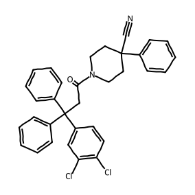 N#CC1(c2ccccc2)CCN(C(=O)CC(c2ccccc2)(c2ccccc2)c2ccc(Cl)c(Cl)c2)CC1